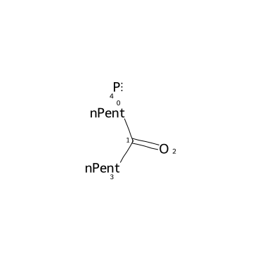 CCCCCC(=O)CCCCC.[P]